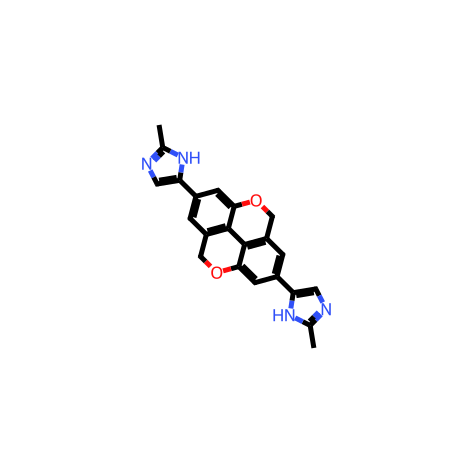 Cc1ncc(-c2cc3c4c(c2)OCc2cc(-c5cnc(C)[nH]5)cc(c2-4)OC3)[nH]1